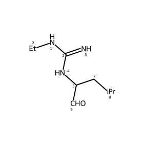 CCNC(=N)NC(C=O)CC(C)C